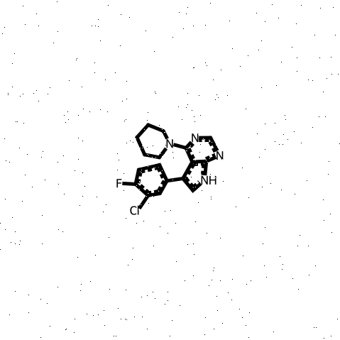 Fc1ccc(-c2c[nH]c3ncnc(N4CCCCC4)c23)cc1Cl